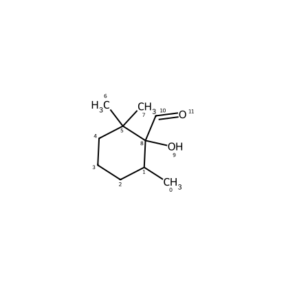 CC1CCCC(C)(C)C1(O)C=O